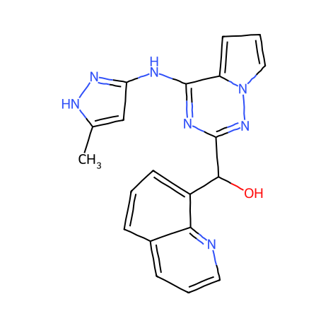 Cc1cc(Nc2nc(C(O)c3cccc4cccnc34)nn3cccc23)n[nH]1